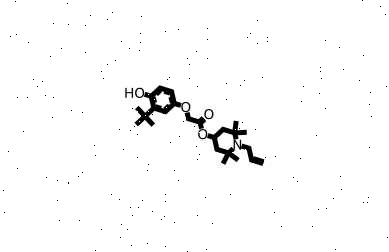 C=CCN1C(C)(C)CC(OC(=O)COc2ccc(O)c(C(C)(C)C)c2)CC1(C)C